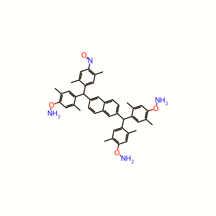 Cc1cc(C(c2ccc3cc(C(c4cc(C)c(ON)cc4C)c4cc(C)c(ON)cc4C)ccc3c2)c2cc(C)c(ON)cc2C)c(C)cc1N=O